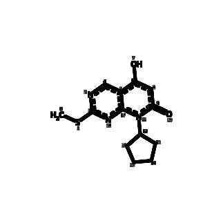 CSc1ncc2c(O)cc(=O)n(C3CCCC3)c2n1